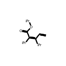 C=CC(=C(C(=O)OC(C)C)C(C)C)C(C)C